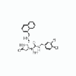 CCCN(C(=O)NCc1ccc(Cl)c(Cl)c1)N1CC(=O)N[C@@H]1CNCc1cccc2ccccc12